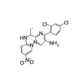 [CH2]C(Nc1ccc([N+](=O)[O-])cn1)c1ncc(N)c(-c2ccc(Cl)cc2Cl)n1